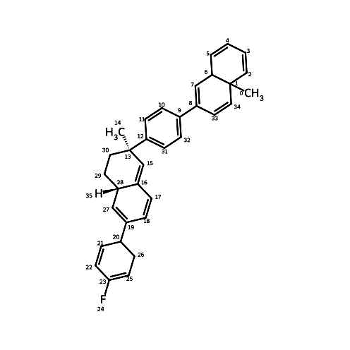 CC12C=CC=CC1C=C(c1ccc([C@@]3(C)C=C4C=CC(C5C=CC(F)=CC5)=C[C@@H]4CC3)cc1)C=C2